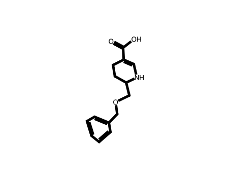 O=C(O)C1=CNC(COCc2ccccc2)CC1